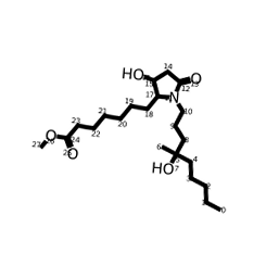 CCCCCC(C)(O)CCCN1C(=O)CC(O)C1CCCCCCC(=O)OC